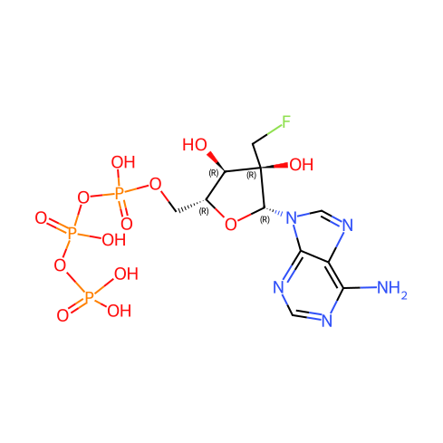 Nc1ncnc2c1ncn2[C@@H]1O[C@H](COP(=O)(O)OP(=O)(O)OP(=O)(O)O)[C@@H](O)[C@]1(O)CF